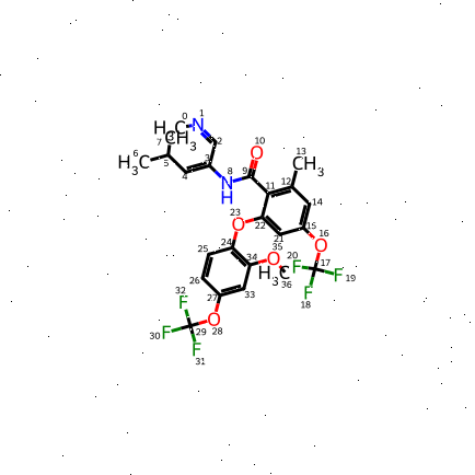 C/N=C\C(=C/C(C)C)NC(=O)c1c(C)cc(OC(F)(F)F)cc1Oc1ccc(OC(F)(F)F)cc1OC